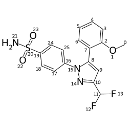 COc1ccccc1-c1cc(C(F)F)nn1-c1ccc(S(N)(=O)=O)cc1